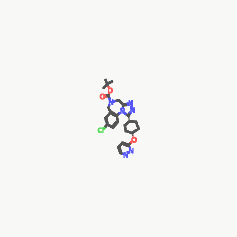 CC(C)(C)OC(=O)N1Cc2cc(Cl)ccc2-n2c(nnc2[C@H]2CC[C@@H](Oc3cccnn3)CC2)C1